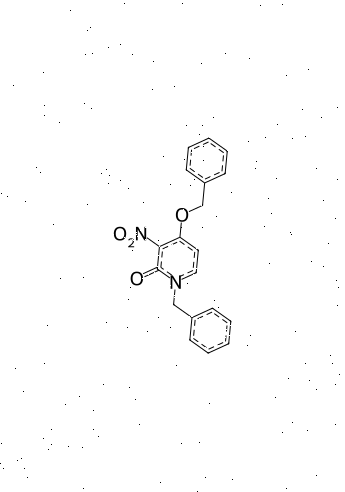 O=c1c([N+](=O)[O-])c(OCc2ccccc2)ccn1Cc1ccccc1